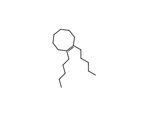 CCCCC/C1=C(\CCCCC)CCCCCC1